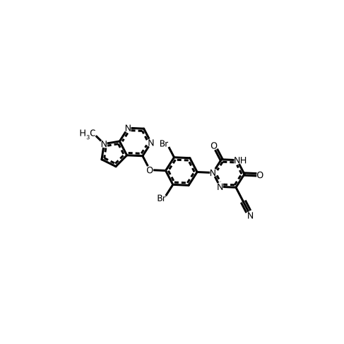 Cn1ccc2c(Oc3c(Br)cc(-n4nc(C#N)c(=O)[nH]c4=O)cc3Br)ncnc21